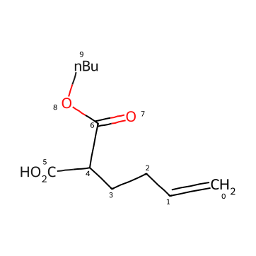 C=CCCC(C(=O)O)C(=O)OCCCC